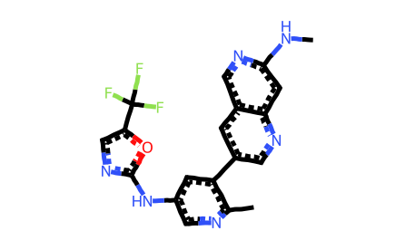 CNc1cc2ncc(-c3cc(Nc4ncc(C(F)(F)F)o4)cnc3C)cc2cn1